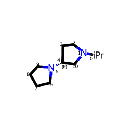 CC(C)N1CC[C@@H](N2CCCC2)C1